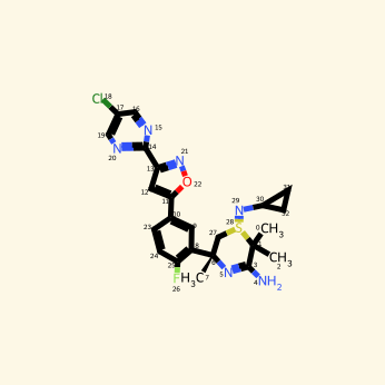 CC1(C)C(N)=N[C@](C)(c2cc(-c3cc(-c4ncc(Cl)cn4)no3)ccc2F)C/S1=N/C1CC1